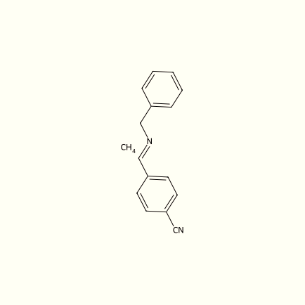 C.N#Cc1ccc(C=NCc2ccccc2)cc1